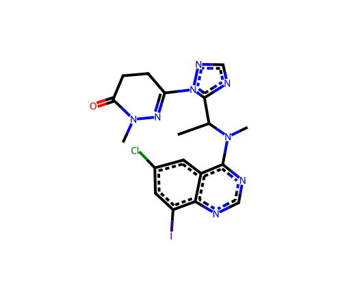 CC(c1ncnn1C1=NN(C)C(=O)CC1)N(C)c1ncnc2c(I)cc(Cl)cc12